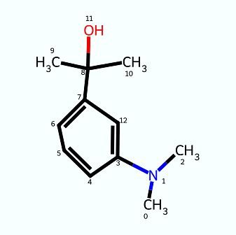 CN(C)c1cccc(C(C)(C)O)c1